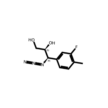 Cc1ccc([C@@H](N=[N+]=[N-])[C@H](O)CO)cc1F